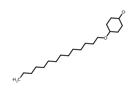 [CH2]CCCCCCCCCCCCCOC1CCC([O])CC1